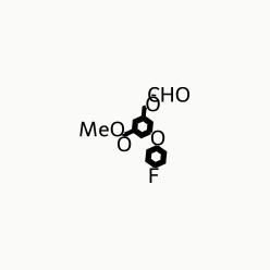 COC(=O)c1cc(COC=O)cc(Oc2ccc(F)cc2)c1